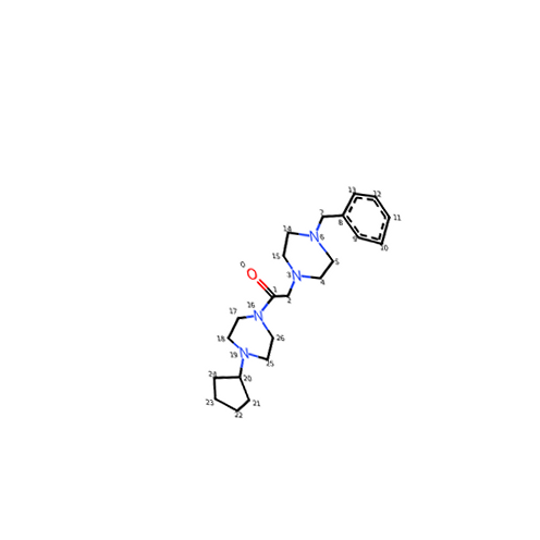 O=C(CN1CCN(Cc2ccccc2)CC1)N1CCN(C2CCCC2)CC1